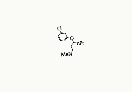 CCCC(CCNC)Oc1cccc(Cl)c1